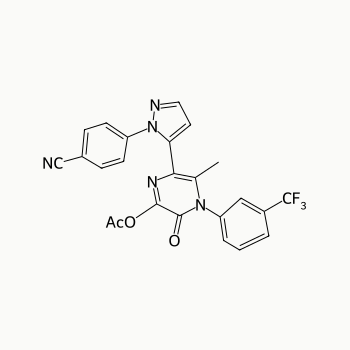 CC(=O)Oc1nc(-c2ccnn2-c2ccc(C#N)cc2)c(C)n(-c2cccc(C(F)(F)F)c2)c1=O